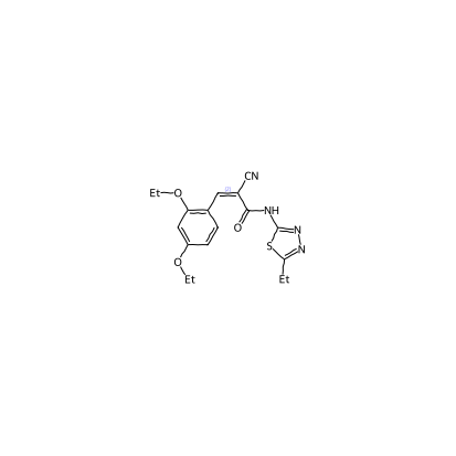 CCOc1ccc(/C=C(/C#N)C(=O)Nc2nnc(CC)s2)c(OCC)c1